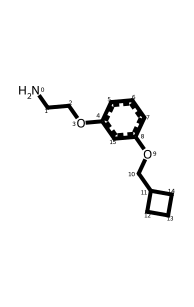 NCCOc1cccc(OCC2CCC2)c1